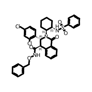 O=C(NOCc1ccccc1)[C@@H]1c2ccccc2C(=O)N([C@H]2CCCC[C@@H]2NS(=O)(=O)c2ccccc2)[C@H]1c1ccc(Cl)cc1Cl